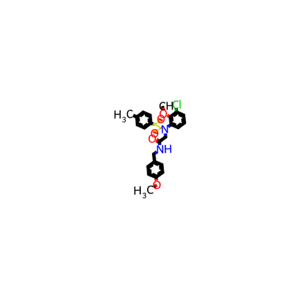 COc1ccc(CNC(=O)CN(c2cccc(Cl)c2OC)S(=O)(=O)c2ccc(C)cc2)cc1